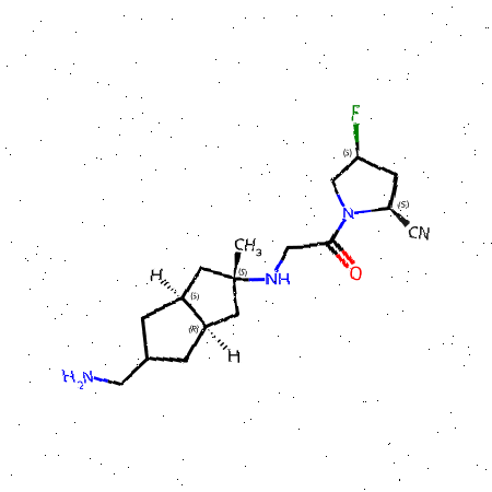 C[C@@]1(NCC(=O)N2C[C@@H](F)C[C@H]2C#N)C[C@H]2CC(CN)C[C@H]2C1